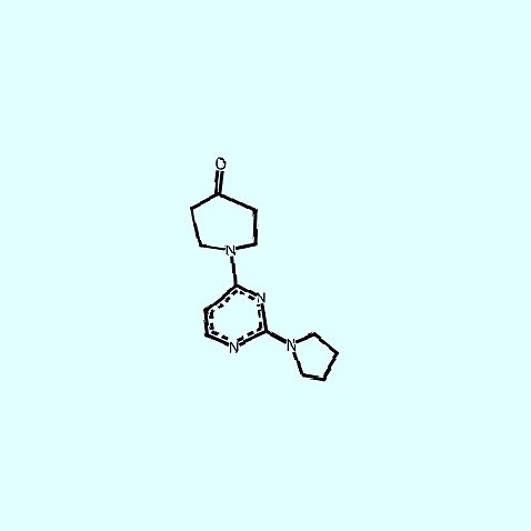 O=C1CCN(c2ccnc(N3CCCC3)n2)CC1